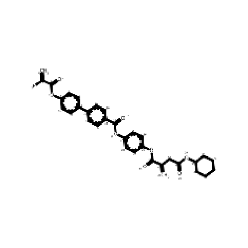 C=C(F)C(=O)Oc1ccc(-c2ccc(C(=O)Oc3ccc(OC(=O)C(=C)CC(=O)OC4CCCCC4)cc3)cc2)cc1